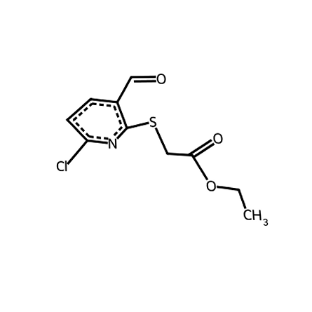 CCOC(=O)CSc1nc(Cl)ccc1C=O